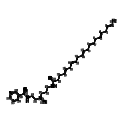 CCC=CCC=CCC=CCC=CCC=CCC=CCCC(=O)NCCCN(CC)CCNC(=O)c1cccnc1